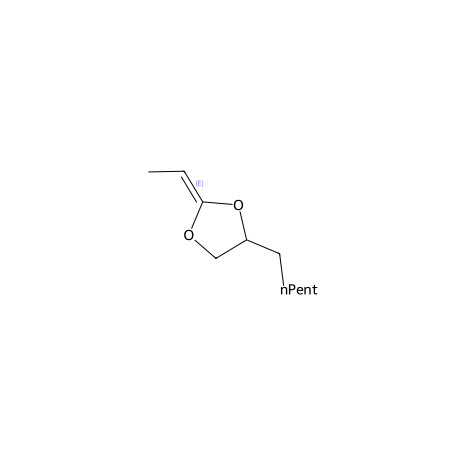 C/C=C1\OCC(CCCCCC)O1